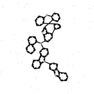 c1ccc2c(c1)Sc1ccccc1C21c2ccccc2-c2ccc(N(c3ccc4c(c3)c3ccccc3n4-c3ccc4c(c3)sc3ccccc34)c3cccc4ccccc34)c3cccc1c23